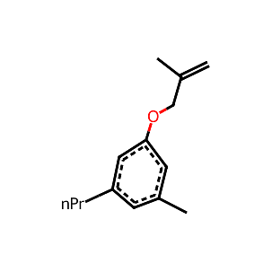 C=C(C)COc1cc(C)cc(CCC)c1